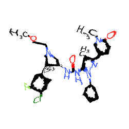 COCCN1C[C@H](NC(=O)Nc2c(C)c(-c3ccc(=O)n(C)c3)nn2-c2ccccc2)[C@@H](c2ccc(Cl)c(F)c2)C1